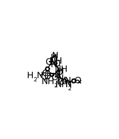 C=N/C(=N\C(C)=C(/C)C(=O)N[C@@H](CCN)C(=O)N(C)[C@@H]1C(=O)N[C@@H](C)C(=O)N[C@H](C(=O)NCC#N)Cc2ccc(OCCN)c(c2)-c2cc1ccc2OCCN)c1ccc(OC(C)(C)C)cc1